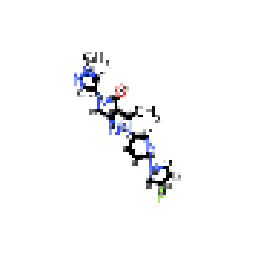 Cc1c2c(nn1-c1ccc(N3CC[C@@H](F)C3)nc1)CN(c1cnn(C)c1)C2=O